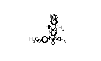 COC1CCC(n2c(=O)n(C)c3cnc(Nc4cn5ncnc5cc4C)nc32)CC1